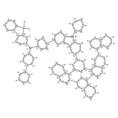 CC1(C)c2ccccc2-c2ccc(N(c3ccc(-c4ccccc4)cc3)c3ccc(-c4ccc5c(c4)c4cc(-c6cc(-c7cccc8ccccc78)cc(-c7c(-c8cccc9ccccc89)ccc8ccc(-c9cccc%10ccccc9%10)cc78)c6)ccc4n5-c4ccccc4)cc3)cc21